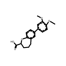 COc1ccc(-c2ccc3c(c2)CCCC(C(=O)O)O3)cc1OC